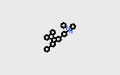 c1ccc(-c2ccc3c4ccc(-c5ccc(-c6nc7ccccc7n6-c6ccccc6)cc5)cc4c4c5ccccc5c5ccccc5c4c3c2)cc1